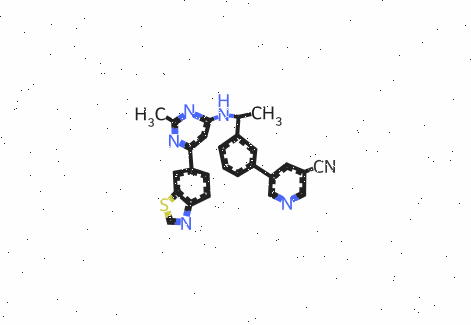 Cc1nc(NC(C)c2cccc(-c3cncc(C#N)c3)c2)cc(-c2ccc3ncsc3c2)n1